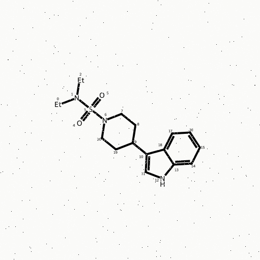 CCN(CC)S(=O)(=O)N1CCC(c2c[nH]c3ccccc23)CC1